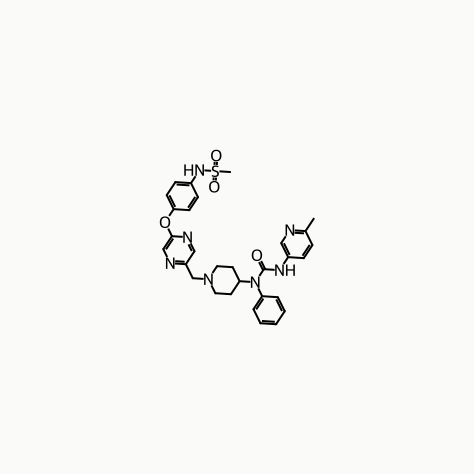 Cc1ccc(NC(=O)N(c2ccccc2)C2CCN(Cc3cnc(Oc4ccc(NS(C)(=O)=O)cc4)cn3)CC2)cn1